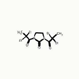 CCC(C)(CC)C(=O)N1CCN(C(=O)C(C)(CC)CC)C1=O